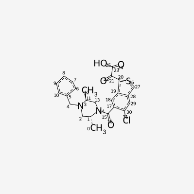 C[C@@H]1CN(Cc2ccccc2)[C@@H](C)CN1C(=O)c1cc2c(C(=O)C(=O)O)scc2cc1Cl